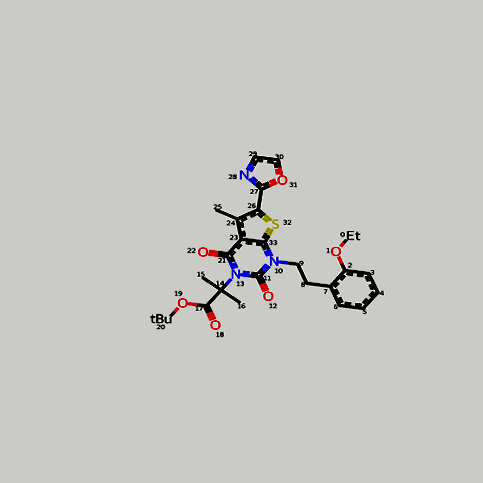 CCOc1ccccc1CCn1c(=O)n(C(C)(C)C(=O)OC(C)(C)C)c(=O)c2c(C)c(-c3ncco3)sc21